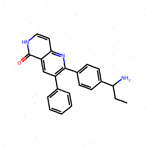 CCC(N)c1ccc(-c2nc3cc[nH]c(=O)c3cc2-c2ccccc2)cc1